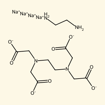 NCCN.O=C([O-])CN(CCN(CC(=O)[O-])CC(=O)[O-])CC(=O)[O-].[Na+].[Na+].[Na+].[Na+]